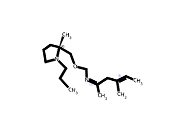 C/C=C(\C)C/C(C)=N\COC[C@@]1(C)CCCN1CCC